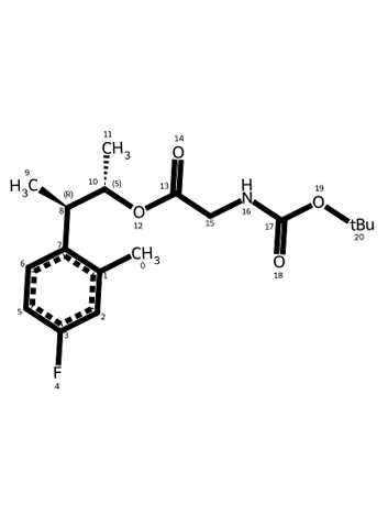 Cc1cc(F)ccc1[C@@H](C)[C@H](C)OC(=O)CNC(=O)OC(C)(C)C